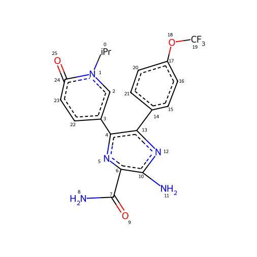 CC(C)n1cc(-c2nc(C(N)=O)c(N)nc2-c2ccc(OC(F)(F)F)cc2)ccc1=O